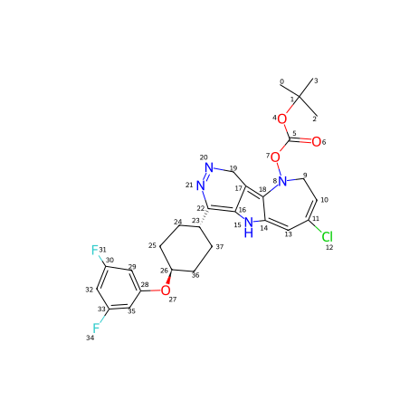 CC(C)(C)OC(=O)ON1CC=C(Cl)C=c2[nH]c3c(c21)CN=NC=3[C@H]1CC[C@H](Oc2cc(F)cc(F)c2)CC1